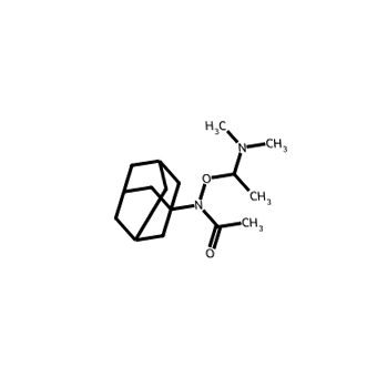 CC(=O)N(OC(C)N(C)C)C12CC3CC(CC(C3)C1)C2